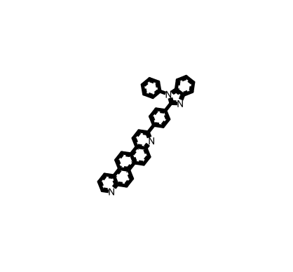 c1ccc(-n2c(-c3ccc(-c4ccc5c(ccc6c5ccc5c7cccnc7ccc56)n4)cc3)nc3ccccc32)cc1